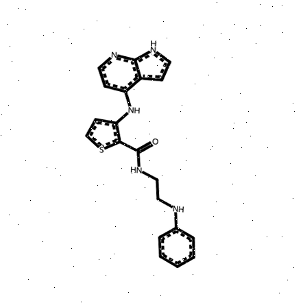 O=C(NCCNc1ccccc1)c1sccc1Nc1ccnc2[nH]ccc12